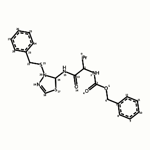 CC(C)C(NC(=O)OCc1ccccc1)C(=O)NC1SC=NN1SCc1ccccc1